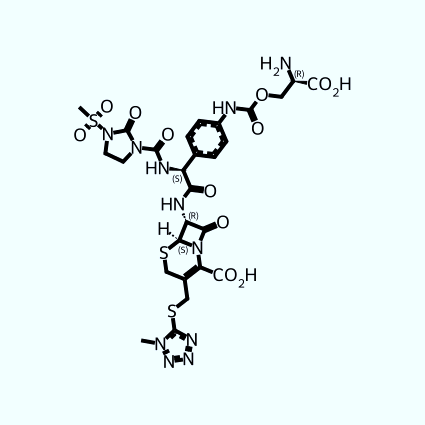 Cn1nnnc1SCC1=C(C(=O)O)N2C(=O)[C@@H](NC(=O)[C@@H](NC(=O)N3CCN(S(C)(=O)=O)C3=O)c3ccc(NC(=O)OC[C@@H](N)C(=O)O)cc3)[C@@H]2SC1